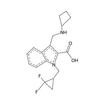 O=C(O)c1c(CNC2CCC2)c2ccccc2n1CC1CC1(F)F